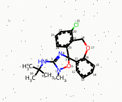 CN1OC2(N=C1NC(C)(C)C)c1ccccc1OCc1c(Cl)cccc12